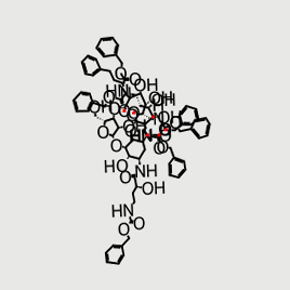 O=C(NCC[C@H](O)C(=O)N[C@@H]1C[C@H](NC(=O)OCc2ccccc2)[C@@H](O[C@H]2O[C@H](CN(CCCc3ccccc3)C(=O)OCc3ccccc3)[C@@H](O)[C@H](O)[C@H]2NC(=O)OCc2ccccc2)[C@H](O[C@@H]2O[C@H](CO)[C@@H](O[C@H]3O[C@@H](CNC(=O)OCc4ccccc4)[C@@H](O)[C@H](O)[C@H]3NC(=O)OCc3ccccc3)[C@H]2O)[C@H]1O)OCc1ccccc1